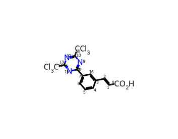 O=C(O)/C=C/c1cccc(-c2nc(C(Cl)(Cl)Cl)nc(C(Cl)(Cl)Cl)n2)c1